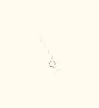 CCCCCCCC[n+]1ccn(C(C)C)c1C